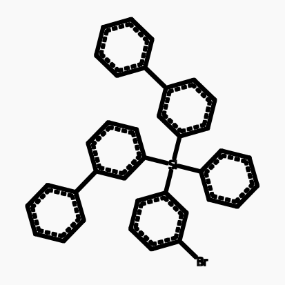 Brc1cccc([Si](c2ccccc2)(c2cccc(-c3ccccc3)c2)c2cccc(-c3ccccc3)c2)c1